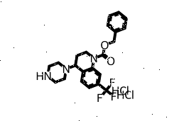 Cl.Cl.O=C(OCc1ccccc1)N1CCC(N2CCNCC2)c2ccc(C(F)(F)F)cc21